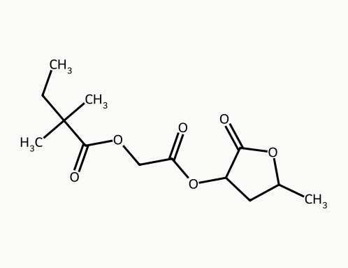 CCC(C)(C)C(=O)OCC(=O)OC1CC(C)OC1=O